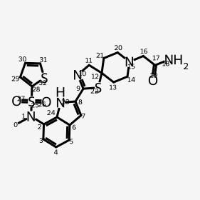 CN(c1cccc2cc(C3=NCC4(CCN(CC(N)=O)CC4)S3)[nH]c12)S(=O)(=O)c1cccs1